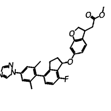 COC(=O)CC1COc2cc(O[C@@H]3CCc4c(-c5c(C)cc(-n6cncn6)cc5C)ccc(F)c43)ccc21